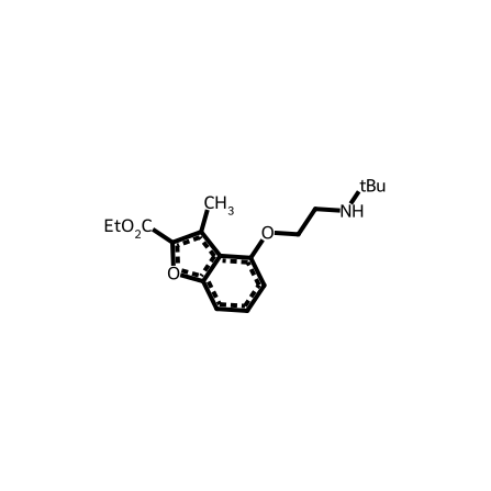 CCOC(=O)c1oc2cccc(OCCNC(C)(C)C)c2c1C